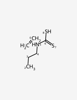 C=C.CCCNC(=S)S